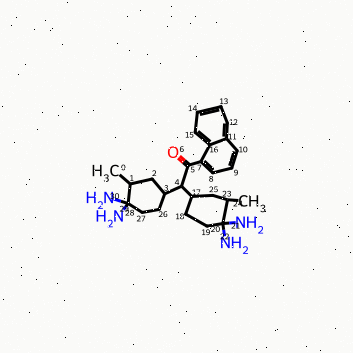 CC1CC(C(C(=O)c2cccc3ccccc23)C2CCC(N)(N)C(C)C2)CCC1(N)N